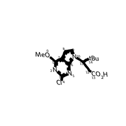 COc1nc(Cl)nc2c1ccn2C(CC(=O)O)C(C)(C)C